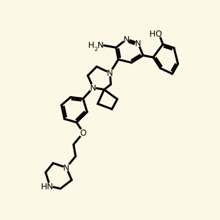 Nc1nnc(-c2ccccc2O)cc1N1CCN(c2cccc(OCCN3CCNCC3)c2)C2(CCC2)C1